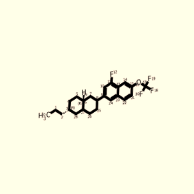 CCC[C@@H]1CC[C@@H]2CC(c3cc(F)c4cc(OC(F)(F)F)ccc4c3)CCC2C1